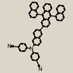 N#Cc1ccc(N(c2ccc(C#N)cc2)c2ccc3cc(-c4ccc5c(-c6cccc7ccccc67)c6ccccc6c(-c6cccc7ccccc67)c5c4)ccc3c2)cc1